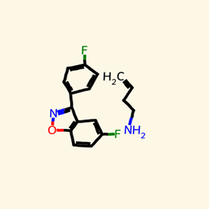 C=CCCN.Fc1ccc(-c2noc3ccc(F)cc23)cc1